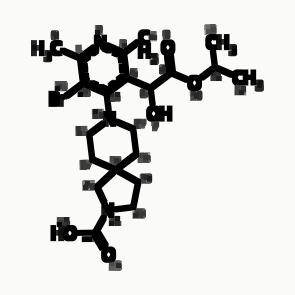 Cc1nc(C)c(C(O)C(=O)OC(C)C)c(N2CCC3(CCN(C(=O)O)C3)CC2)c1Br